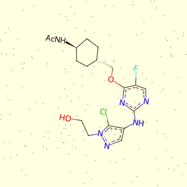 CC(=O)N[C@H]1CC[C@H](COc2nc(Nc3cnn(CCO)c3Cl)ncc2F)CC1